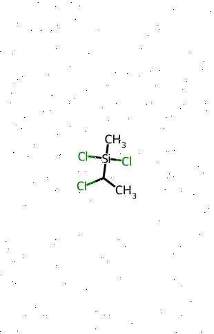 CC(Cl)[Si](C)(Cl)Cl